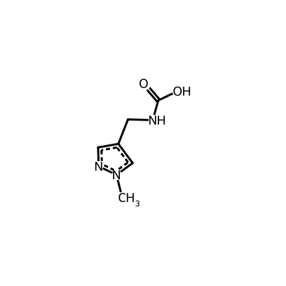 Cn1cc(CNC(=O)O)cn1